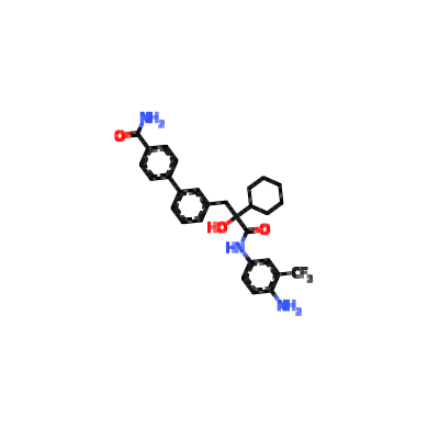 NC(=O)c1ccc(-c2cccc(CC(O)(C(=O)Nc3ccc(N)c(C(F)(F)F)c3)C3CCCCC3)c2)cc1